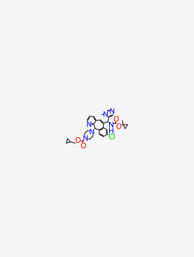 Cn1cncc1[C@H](NC(=O)OC1(C)CC1)C1=Cc2cccnc2[C@@H](N2CCN(C(=O)OCC3CC3)CC2)c2ccc(Cl)cc21